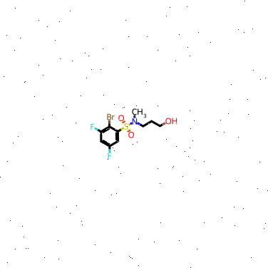 CN(CCCO)S(=O)(=O)c1cc(F)cc(F)c1Br